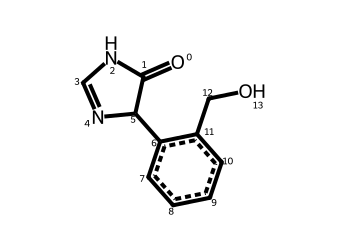 O=C1NC=NC1c1ccccc1CO